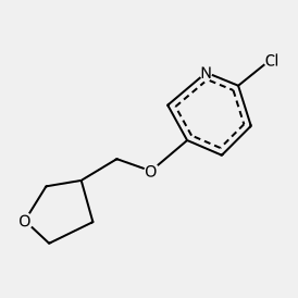 Clc1ccc(OCC2CCOC2)cn1